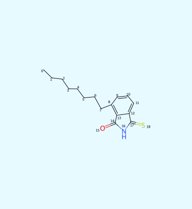 CCCCCCCCc1cccc2c1C(=O)NC2=S